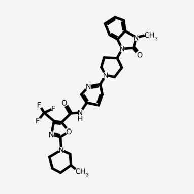 CC1CCCN(c2nc(C(F)(F)F)c(C(=O)Nc3ccc(N4CCC(n5c(=O)n(C)c6ccccc65)CC4)nc3)o2)C1